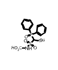 CC(C)(C)C(P(=O)(c1ccccc1)c1ccccc1)S(=O)(=O)NC(=O)O